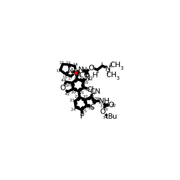 CN(C)CCOc1nc(N2C3CCC2CN(C(=O)O)C3)c2c3c(c(-c4ccc(F)c5sc(NC(=O)OC(C)(C)C)c(C#N)c45)c(Cl)c2n1)COC3